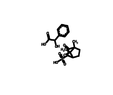 CC12CCC(C(S(=O)(=O)O)C1=O)C2(C)C.O=C(O)C(O)c1ccccc1